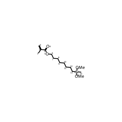 C=C(C)C(=O)OCCCCCCCC[Si](C)(OC)OC